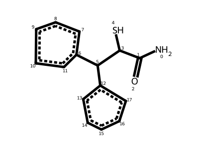 NC(=O)C(S)C(c1ccccc1)c1ccccc1